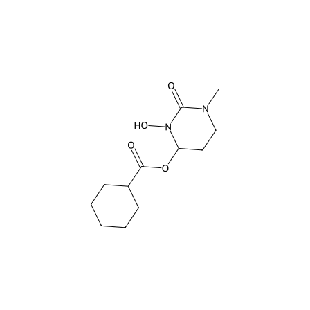 CN1CCC(OC(=O)C2CCCCC2)N(O)C1=O